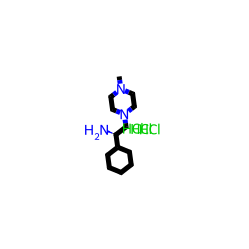 CN1CCN(C[C@@H](N)C2CCCCC2)CC1.Cl.Cl.Cl